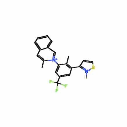 Cc1c(-c2ccs[n+]2C)cc(C(F)(F)F)cc1-[n+]1cc2ccccc2cc1C